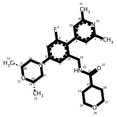 Cc1cc(-c2c(F)cc(N3C[C@@H](C)O[C@@H](C)C3)cc2CNC(=O)C2CCOCC2)cc(C)n1